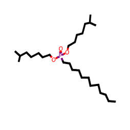 CCCCCCCCCCCCP(=O)(OCCCCCC(C)C)OCCCCCC(C)C